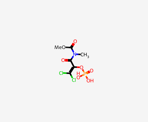 COC(=O)N(C)C(=O)C(OP(=O)(O)O)=C(Cl)Cl